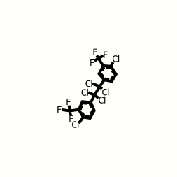 FC(F)(F)c1cc(C(Cl)(Cl)C(Cl)(Cl)c2ccc(Cl)c(C(F)(F)F)c2)ccc1Cl